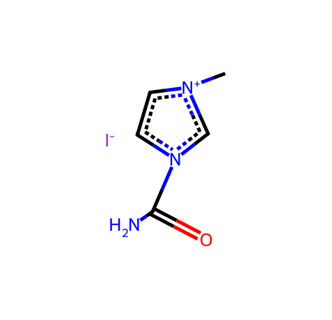 C[n+]1ccn(C(N)=O)c1.[I-]